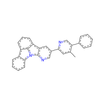 Cc1cc(-c2cnc3c(c2)c2cccc4c5ccccc5n3c42)ncc1-c1ccccc1